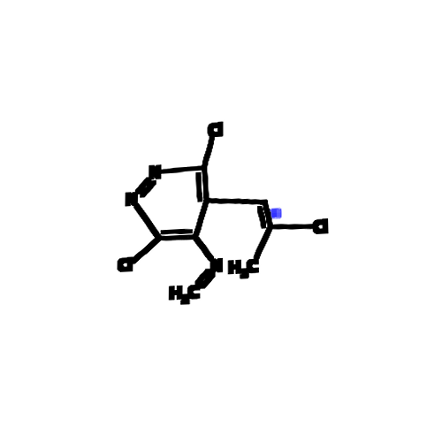 C=Nc1c(Cl)nnc(Cl)c1/C=C(\C)Cl